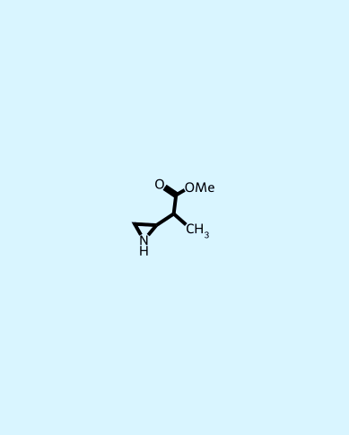 COC(=O)C(C)C1CN1